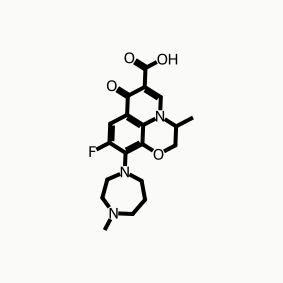 CC1COc2c(N3CCCN(C)CC3)c(F)cc3c(=O)c(C(=O)O)cn1c23